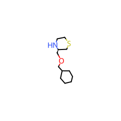 C1CCC(COC[C@@H]2CSCCN2)CC1